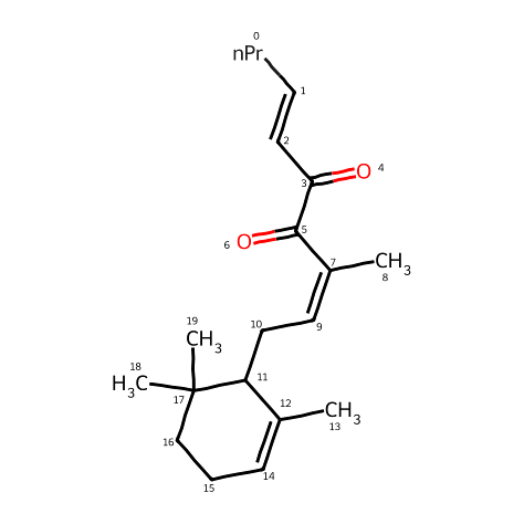 CCCC=CC(=O)C(=O)C(C)=CCC1C(C)=CCCC1(C)C